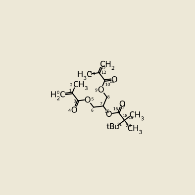 C=C(C)C(=O)OCC(COC(=O)C(=C)C)OC(=O)C(C)(C)C(C)(C)C